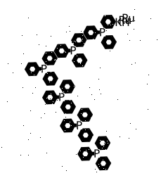 [KH].[Ru].[Ru].c1ccc(P(c2ccccc2)c2ccccc2)cc1.c1ccc(P(c2ccccc2)c2ccccc2)cc1.c1ccc(P(c2ccccc2)c2ccccc2)cc1.c1ccc(P(c2ccccc2)c2ccccc2)cc1.c1ccc(P(c2ccccc2)c2ccccc2)cc1.c1ccc(P(c2ccccc2)c2ccccc2)cc1